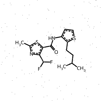 Cc1nc(C(F)F)c(C(=O)Nc2ccsc2CCC(C)C)s1